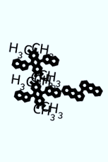 Cc1cc2c(-c3ccc4ccccc4c3)c3cc(C)c(C)cc3c(-c3ccc4ccccc4c3)c2cc1C.Cc1cc2c(-c3ccc4ccccc4c3)c3cc(C)c(C)cc3c(-c3ccc4ccccc4c3)c2cc1C.c1ccc2cc3c(-c4cccc5cc6ccccc6cc45)cccc3cc2c1